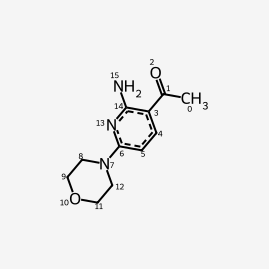 CC(=O)c1ccc(N2CCOCC2)nc1N